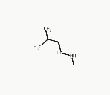 CC(C)CPNI